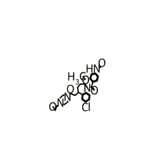 COc1cc(NC=O)ccc1C(=O)N1CCCC(CC(=O)N2CCN(C3CO3)CC2)c2cc(Cl)ccc21